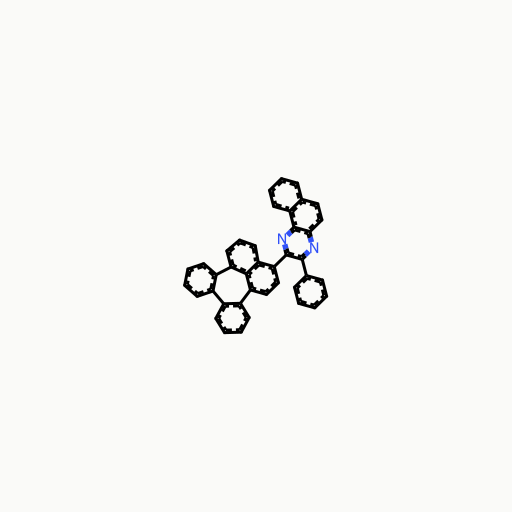 c1ccc(-c2nc3ccc4ccccc4c3nc2-c2ccc3c4c(cccc24)-c2ccccc2-c2ccccc2-3)cc1